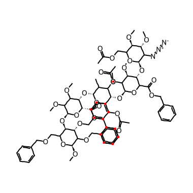 COC1C(OC)[C@H](O[C@H]2O[C@@H](COC(C)=O)[C@@H](O[C@@H]3OC(C(=O)OCc4ccccc4)[C@@H](O[C@H]4OC(COC(C)=O)[C@@H](OC)[C@H](OC)C4N=[N+]=[N-])[C@H](OC)C3OC)C(OC(C)=O)C2C)[C@H](C(=O)OCc2ccccc2)O[C@H]1O[C@@H]1C(COCc2ccccc2)O[C@H](OC)C(OCc2ccccc2)[C@H]1OCc1ccccc1